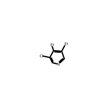 CCc1cncc(Cl)c1CC